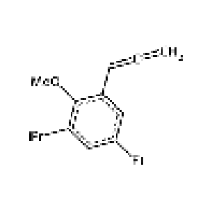 C=C=Cc1cc(CC)cc(C(C)C)c1OC